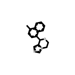 Cc1ccc(C2OCCn3cncc32)c2ccccc12